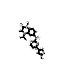 CC(C)N1c2cc(Nc3nccc(-c4cnn(C)c4)n3)ccc2N(C)C(=O)C1C